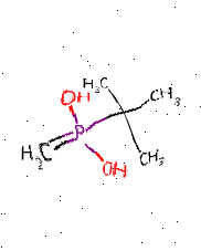 C=P(O)(O)C(C)(C)C